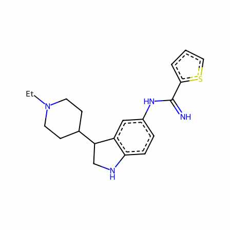 CCN1CCC(C2CNc3ccc(NC(=N)c4cccs4)cc32)CC1